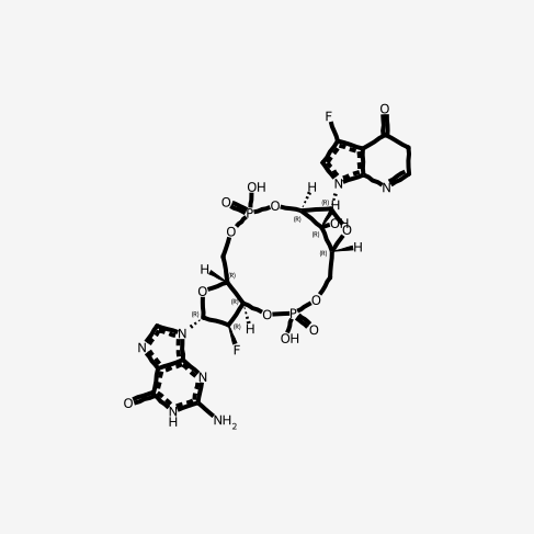 Nc1nc2c(ncn2[C@@H]2O[C@@H]3COP(=O)(O)O[C@@H]4[C@H](O)[C@@H](COP(=O)(O)O[C@H]3[C@H]2F)O[C@H]4n2cc(F)c3c2N=CCC3=O)c(=O)[nH]1